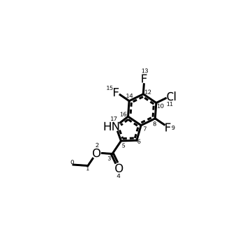 CCOC(=O)c1cc2c(F)c(Cl)c(F)c(F)c2[nH]1